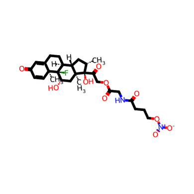 C[C@H]1C[C@H]2[C@@H]3CCC4=CC(=O)C=C[C@]4(C)[C@@]3(F)[C@@H](O)C[C@]2(C)[C@@]1(O)C(=O)COC(=O)CNC(=O)CCCO[N+](=O)[O-]